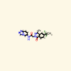 CC(C)c1nn(CC(=O)Nc2ccc3nncn3c2)c(=O)c2ccc(C(C)(F)F)cc12